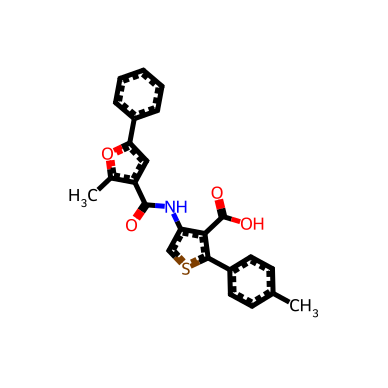 Cc1ccc(-c2scc(NC(=O)c3cc(-c4ccccc4)oc3C)c2C(=O)O)cc1